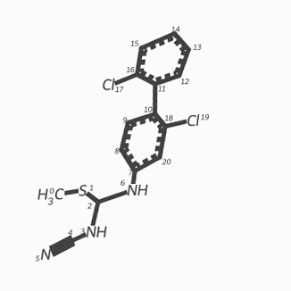 CSC(NC#N)Nc1ccc(-c2ccccc2Cl)c(Cl)c1